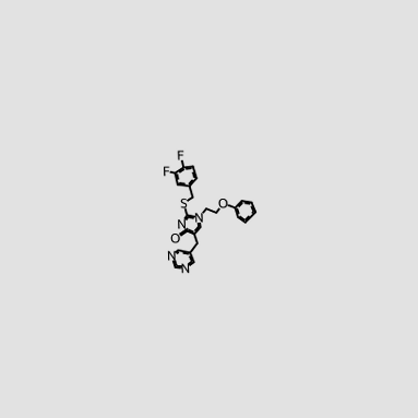 O=c1nc(SCc2ccc(F)c(F)c2)n(CCOc2ccccc2)cc1Cc1cncnc1